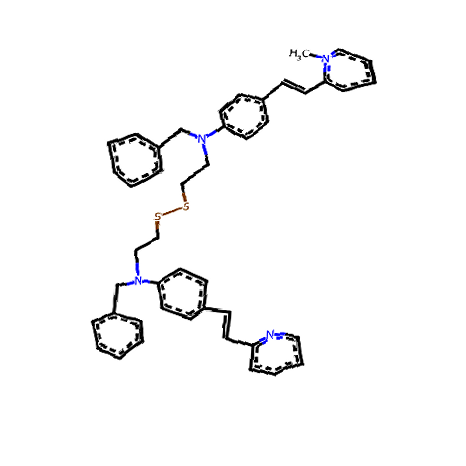 C[n+]1ccccc1/C=C/c1ccc(N(CCSSCCN(Cc2ccccc2)c2ccc(/C=C/c3ccccn3)cc2)Cc2ccccc2)cc1